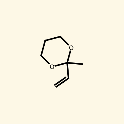 C=CC1(C)OCCCO1